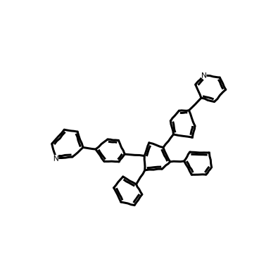 c1ccc(-c2cc(-c3ccccc3)c(-c3ccc(-c4cccnc4)cc3)cc2-c2ccc(-c3cccnc3)cc2)cc1